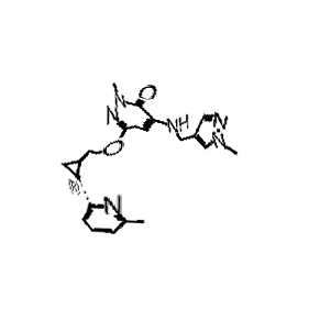 Cc1cccc([C@@H]2CC2COc2cc(NCc3cnn(C)c3)c(=O)n(C)n2)n1